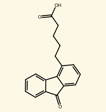 O=C(O)CCCCc1cccc2c1-c1ccccc1C2=O